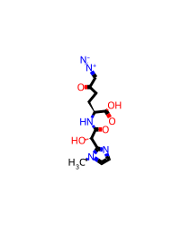 Cn1ccnc1[C@H](O)C(=O)N[C@@H](CCC(=O)C=[N+]=[N-])C(=O)O